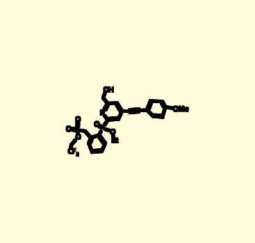 CCOP(=O)(c1cc(C#Cc2ccc(OC)cc2)cc(CO)n1)c1ccccc1CS(=O)(=O)OCC(F)(F)F